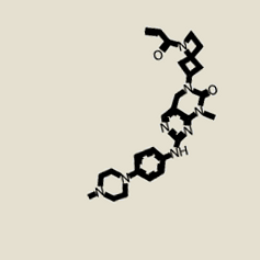 C=CC(=O)N1CCC12CC(N1Cc3cnc(Nc4ccc(N5CCN(C)CC5)cc4)nc3N(C)C1=O)C2